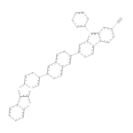 N#Cc1ccc2c3ccc(-c4ccc5cc(-c6ccc7nc8c9ccccc9sc8n7c6)ccc5c4)cc3n(-c3ccccc3)c2c1